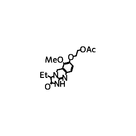 CCC1C(=O)NC2=Nc3ccc(OCCOC(C)=O)c(OC)c3CN21